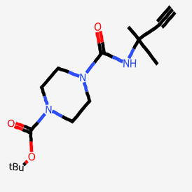 C#CC(C)(C)NC(=O)N1CCN(C(=O)OC(C)(C)C)CC1